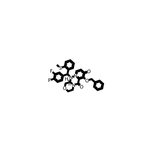 CSc1ccccc1C(c1ccc(F)c(F)c1)N1[C@@H]2COCCN2C(=O)c2c(OCc3ccccc3)c(=O)ccn21